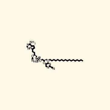 CCCCCCCCCCCCCCCCCCOC[C@H](COP(=O)(O)OC[C@H](CCc1ccc2c(N)ncnn12)OC#N)Oc1cnc(C#N)nc1